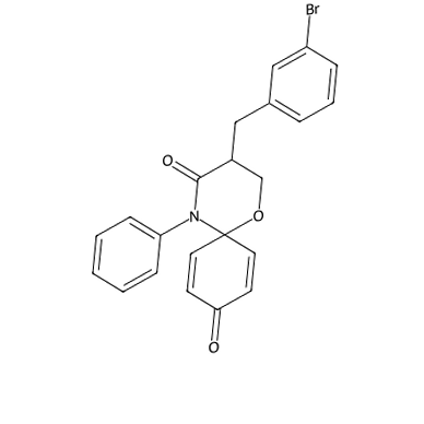 O=C1C=CC2(C=C1)OCC(Cc1cccc(Br)c1)C(=O)N2c1ccccc1